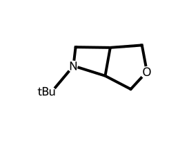 CC(C)(C)N1CC2COCC21